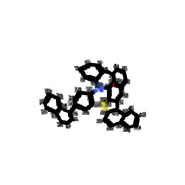 c1ccc(-c2ccccc2N(c2ccc(-c3cccc4ccccc34)cc2)c2cccc3c2sc2ccc4ccccc4c23)cc1